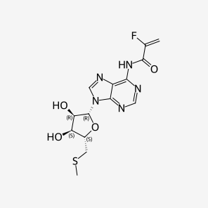 C=C(F)C(=O)Nc1ncnc2c1ncn2[C@@H]1O[C@H](CSC)[C@@H](O)[C@H]1O